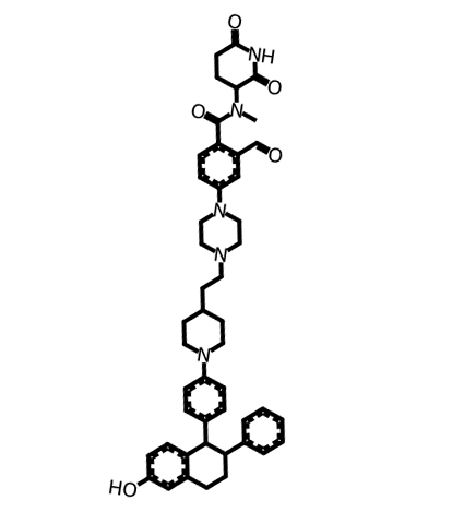 CN(C(=O)c1ccc(N2CCN(CCC3CCN(c4ccc(C5c6ccc(O)cc6CCC5c5ccccc5)cc4)CC3)CC2)cc1C=O)C1CCC(=O)NC1=O